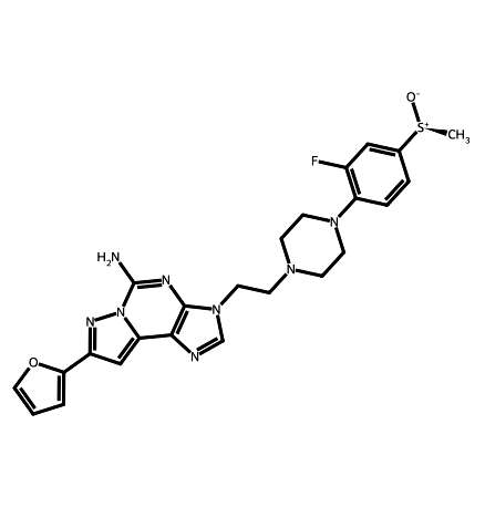 C[S@+]([O-])c1ccc(N2CCN(CCn3cnc4c3nc(N)n3nc(-c5ccco5)cc43)CC2)c(F)c1